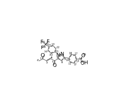 CC(=O)C=CC(=O)c1cc(-c2ccc(C(=O)O)cc2)nn1-c1ccc(C(F)(F)F)cc1